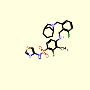 Cc1c(NCc2c(F)cccc2CN2CC3CCCC2C3)ccc(S(=O)(=O)Nc2cscn2)c1F